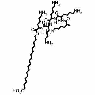 CC(CCCCN)C(=O)NC(CCCCN)C(=O)NC(CCCCN)C(=O)NC(CCCCN)C(=O)NC(CCCCN)C(=O)OCCCCCCCCCCCCCCCCCCC(=O)O